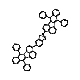 c1ccc(-c2c3c(c(-c4ccccc4)c4ccccc24)-c2ccc(-c4ccc5c(c4)CS(c4ccc6c7c(cccc47)-c4c-6c(-c6ccccc6)c6ccccc6c4-c4ccccc4)=N5)c4cccc-3c24)cc1